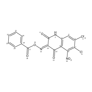 O=C1Nc2cc(C(F)(F)F)c(Cl)c([N+](=O)[O-])c2C(=O)C1=NOC(=O)c1ccccc1